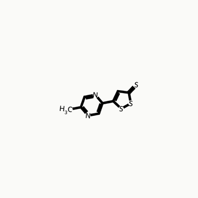 Cc1cnc(-c2cc(=S)ss2)cn1